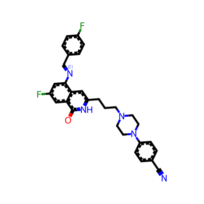 N#Cc1ccc(N2CCN(CCCc3cc4c(/N=C/c5ccc(F)cc5)cc(F)cc4c(=O)[nH]3)CC2)cc1